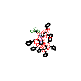 CC1O[C@@H](OC2[C@H](O[C@@H]3C(NC(=O)OCC(Cl)(Cl)Cl)[C@H](C)OC(COC(=O)c4ccccc4)[C@@H]3OC(=O)c3ccccc3)OC(COCc3ccccc3)[C@H](OCc3ccccc3)[C@H]2OCc2ccccc2)C(OCc2ccccc2)[C@@H](OCc2ccccc2)[C@H]1OCc1ccccc1